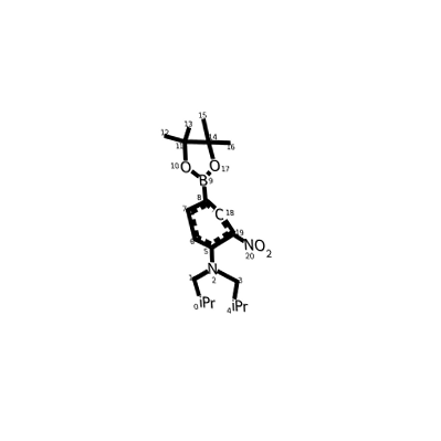 CC(C)CN(CC(C)C)c1ccc(B2OC(C)(C)C(C)(C)O2)cc1[N+](=O)[O-]